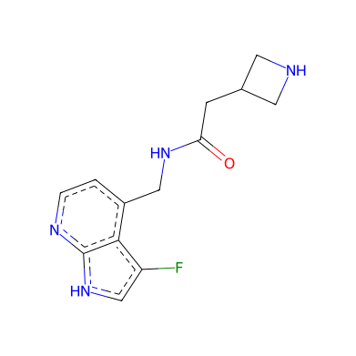 O=C(CC1CNC1)NCc1ccnc2[nH]cc(F)c12